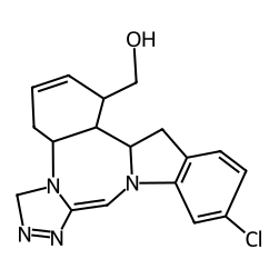 OCC1C=CCC2C1C1Cc3ccc(Cl)cc3N1C=C1N=NCN12